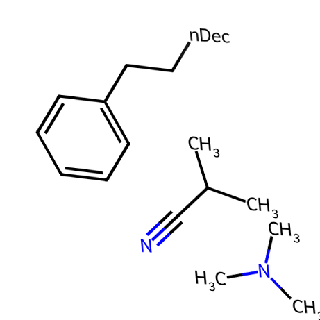 CC(C)C#N.CCCCCCCCCCCCc1ccccc1.CN(C)C